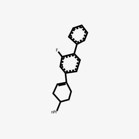 CCCC1CC=C(c2ccc(-c3ccccc3)c(F)c2)CC1